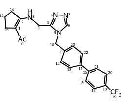 CC(=O)C1=C(NCc2nncn2Cc2ccc(-c3ccc(C(F)(F)F)cc3)cc2)CCC1